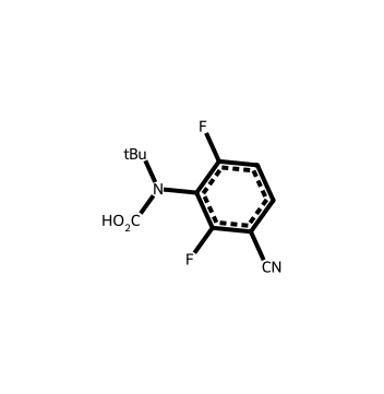 CC(C)(C)N(C(=O)O)c1c(F)ccc(C#N)c1F